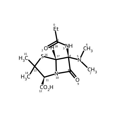 CCC(=O)N[C@@]1(N(C)C)C(=O)N2[C@@H](C(=O)O)C(C)(C)S[C@@H]21